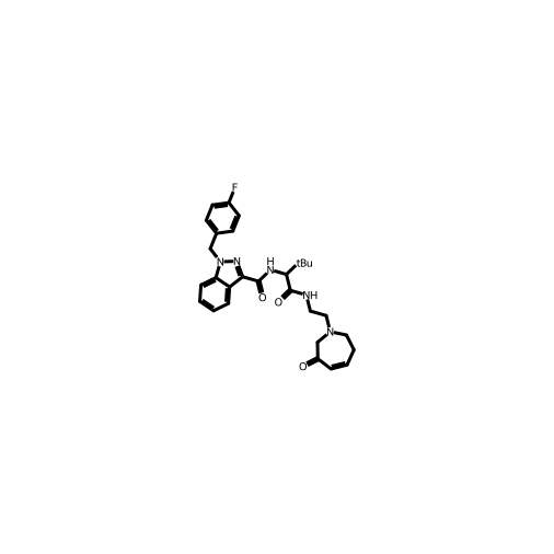 CC(C)(C)C(NC(=O)c1nn(Cc2ccc(F)cc2)c2ccccc12)C(=O)NCCN1CCC=CC(=O)C1